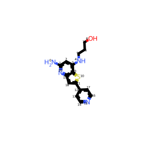 Nc1cc(NCCCO)c2sc(-c3ccncc3)cc2n1